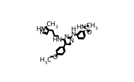 CCOc1ccc(-c2cnc(Nc3cccc(S(C)(=N)=O)c3)nc2NCCCc2cn[nH]c2C)cc1